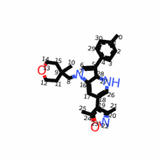 Cc1ccc(C2=CN(CC3(C)CCOCC3)C3=CC(c4c(C)noc4C)=CNC23)cc1